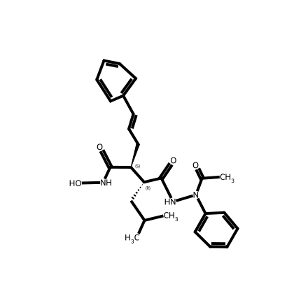 CC(=O)N(NC(=O)[C@H](CC(C)C)[C@H](CC=Cc1ccccc1)C(=O)NO)c1ccccc1